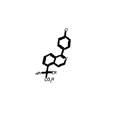 CCCC(C#N)(C(=O)O)c1cccc2c(-c3ccc(Cl)cc3)nccc12